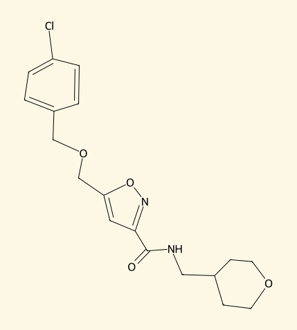 O=C(NCC1CCOCC1)c1cc(COCc2ccc(Cl)cc2)on1